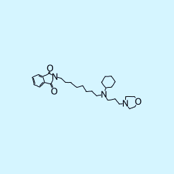 O=C1c2ccccc2C(=O)N1CCCCCCCCN(CCCN1CCOCC1)C1CCCCC1